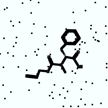 C=CCOC(=O)N(C)[C@H](Cc1ccccc1)C(=O)O